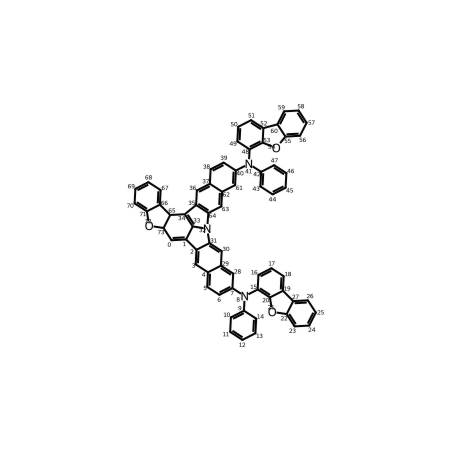 C1=c2c3cc4ccc(N(c5ccccc5)c5cccc6c5oc5ccccc56)cc4cc3n3c2c(c2cc4ccc(N(c5ccccc5)c5cccc6c5oc5ccccc56)cc4cc23)C2c3ccccc3OC12